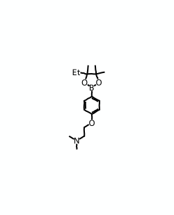 CCC1(C)OB(c2ccc(OCCN(C)C)cc2)OC1(C)C